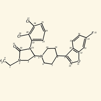 CCN1CC(N2CCC(c3noc4cc(F)ccc34)CC2)N(c2cccc(Cl)c2Cl)C1=O